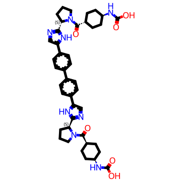 O=C(O)N[C@H]1CC[C@H](C(=O)N2CCC[C@H]2c2ncc(-c3ccc(-c4ccc(-c5cnc([C@@H]6CCCN6C(=O)[C@H]6CC[C@H](NC(=O)O)CC6)[nH]5)cc4)cc3)[nH]2)CC1